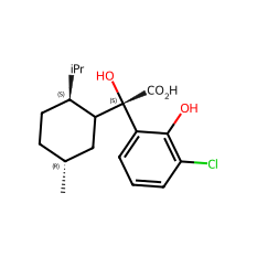 CC(C)[C@@H]1CC[C@@H](C)CC1[C@@](O)(C(=O)O)c1cccc(Cl)c1O